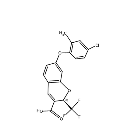 Cc1cc(Cl)ccc1Oc1ccc2c(c1)O[C@@H](C(F)(F)F)C(C(=O)O)=C2